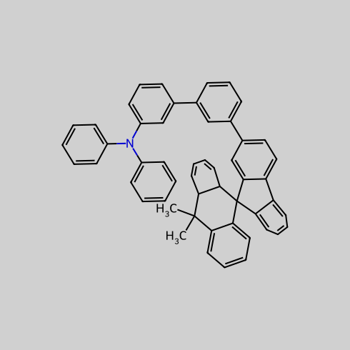 CC1(C)c2ccccc2C2(c3ccccc3-c3ccc(-c4cccc(-c5cccc(N(c6ccccc6)c6ccccc6)c5)c4)cc32)C2C=CC=CC21